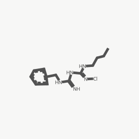 CCCCNC(=NCl)NC(=N)NCc1ccccc1